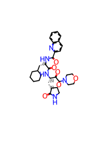 O=C(N[C@@H](CC1CCCCC1)C(=O)N[C@@H](C[C@@H]1CCNC1=O)C(=O)C(=O)N1CCOCC1)c1ccc2ccccc2n1